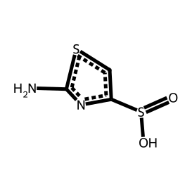 Nc1nc(S(=O)O)cs1